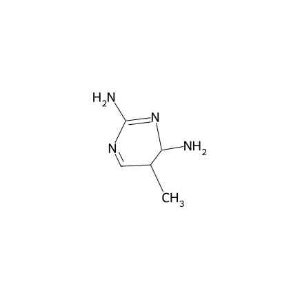 CC1C=NC(N)=NC1N